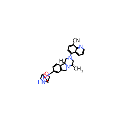 C[C@@H]1CN(c2ccc(C#N)c3ncccc23)C[C@@H]2c3ccc(N4CC5COC(CN5)C4)cc3CN12